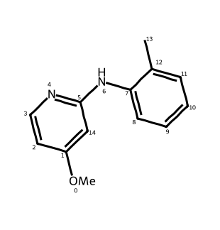 COc1ccnc(Nc2ccccc2C)c1